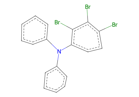 Brc1ccc(N(c2ccccc2)c2ccccc2)c(Br)c1Br